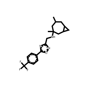 CC1CC2CC2CC(C)(NCc2noc(-c3ccc(C(F)(F)F)cc3)n2)C1